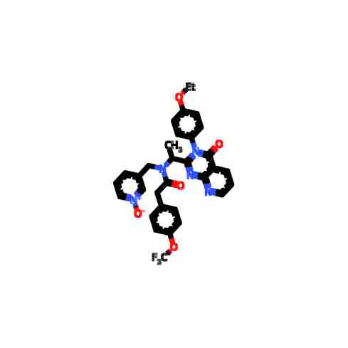 CCOc1ccc(-n2c(C(C)N(Cc3ccc[n+]([O-])c3)C(=O)Cc3ccc(OC(F)(F)F)cc3)nc3ncccc3c2=O)cc1